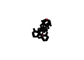 Cc1cccc(C)c1[O][Nb]([CH3])([O]c1c(C)cccc1C)([O]c1c(C)cccc1C)[O]c1c(C)cccc1C